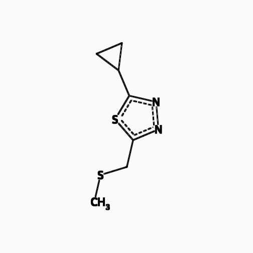 CSCc1nnc(C2CC2)s1